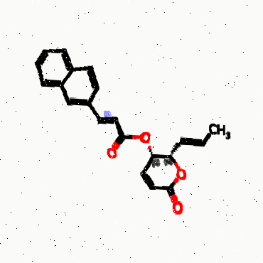 CC=C[C@@H]1OC(=O)C=C[C@@H]1OC(=O)/C=C/c1ccc2ccccc2c1